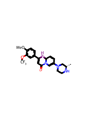 COc1ccc(C2=CC(=O)N3C=C(N4CCN[C@@H](C)C4)C=CC3P2)cc1OC(F)(F)F